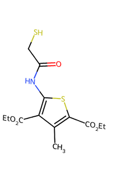 CCOC(=O)c1sc(NC(=O)CS)c(C(=O)OCC)c1C